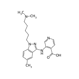 Cc1ccc2c(c1)c(Nc1cnccc1C(=O)O)nn2CCCCCN(C)C